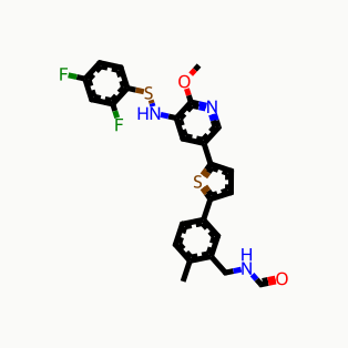 COc1ncc(-c2ccc(-c3ccc(C)c(CNC=O)c3)s2)cc1NSc1ccc(F)cc1F